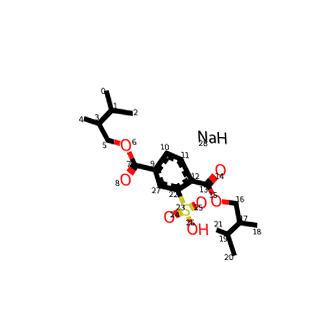 CC(C)C(C)COC(=O)c1ccc(C(=O)OCC(C)C(C)C)c(S(=O)(=O)O)c1.[NaH]